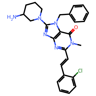 Cn1c(C=Cc2ccccc2Cl)nc2nc(N3CCCC(N)C3)n(Cc3ccccc3)c2c1=O